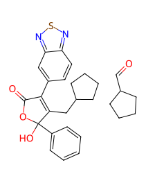 O=C1OC(O)(c2ccccc2)C(CC2CCCC2)=C1c1ccc2nsnc2c1.O=CC1CCCC1